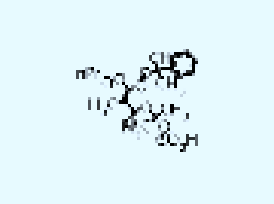 CCCOOC(OOC(C)(C)c1ccccc1)=C(C)C(=O)OC(C)(C)OC(=O)O